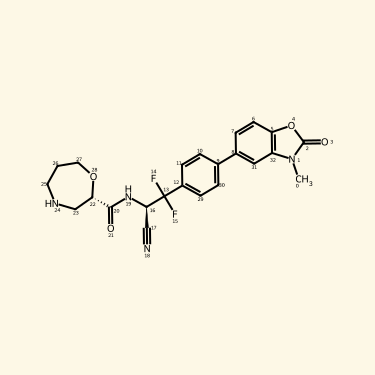 Cn1c(=O)oc2ccc(-c3ccc(C(F)(F)[C@@H](C#N)NC(=O)[C@@H]4CNCCCO4)cc3)cc21